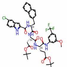 COc1cc(NC(=O)[C@H](CCC(=O)OC(C)(C)C)NC(=O)[C@H](CC(=O)OC(C)(C)C)NC(=O)[C@H](Cc2ccc3ccccc3c2)NC(=O)c2cc3cc(Cl)ccc3[nH]2)cc(C(F)(F)F)c1